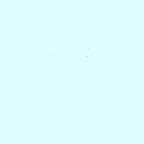 C=CCn1c(NC2CCN(CCC(CN(C)C(=O)c3cc(OC)ccc3OC(F)(F)F)c3ccc(Cl)c(Cl)c3)CC2)nc2ccccc21